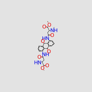 CNC(CC(=O)Nc1cccc2c1C(=O)c1cccc(NC(=O)CC(NC)C(=O)OC)c1C2=O)C(=O)OC